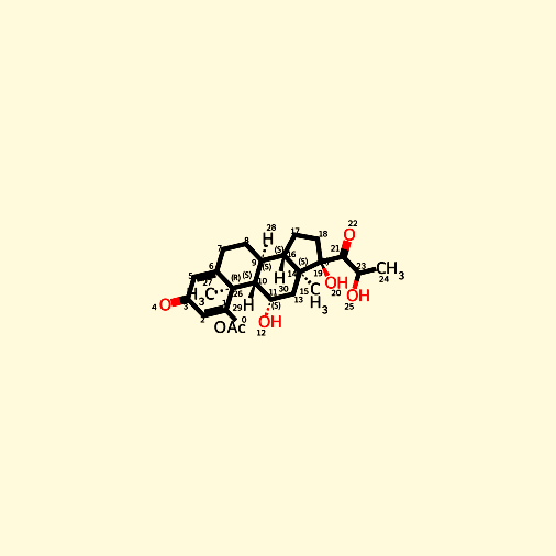 CC(=O)OC1=CC(=O)C=C2CC[C@@H]3[C@H]([C@@H](O)C[C@@]4(C)[C@H]3CC[C@]4(O)C(=O)C(C)O)[C@]21C